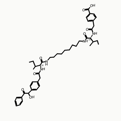 CCC(C)[C@H](NC(=O)Cc1ccc(C(=O)O)cc1)C(=O)NCCCCCCCCCNC(=O)[C@@H](NC(=O)Cc1ccc(C(O)C(=O)c2ccccc2)cc1)C(C)CC